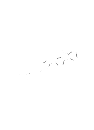 CCOC(=O)c1nn(COCC[Si](C)(C)C)nc1-c1ccc2c3ccccc3n(C)c2c1